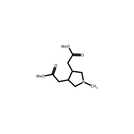 COC(=O)CC1CN(C)CC1CC(=O)OC